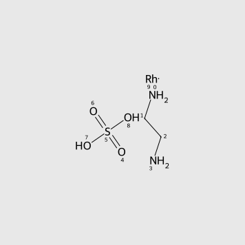 NCCN.O=S(=O)(O)O.[Rh]